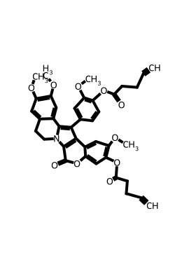 C#CCCC(=O)Oc1ccc(-c2c3n(c4c(=O)oc5cc(OC(=O)CCC#C)c(OC)cc5c24)CCc2cc(OC)c(OC)cc2-3)cc1OC